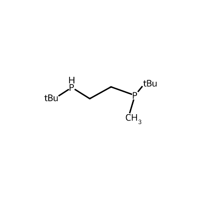 CP(CCPC(C)(C)C)C(C)(C)C